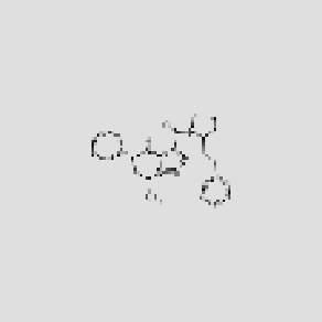 O=C(c1cnn2c1N[C@@H](c1ccccc1)C[C@H]2C(F)(F)F)N1CCCC1CCc1ccccc1